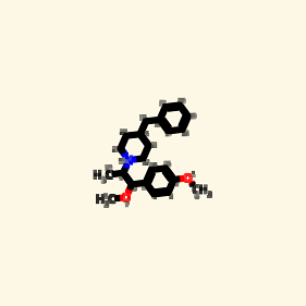 COc1ccc(C(OC)C(C)N2CCC(Cc3ccccc3)CC2)cc1